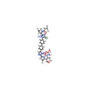 COC(=O)N(C)C(C(=O)N1C[C@@H](C)C[C@H]1c1ncc(-c2ccc(-c3ccc(-c4[nH]c([C@@H]5C[C@H](C)CN5C(=O)CC(C)C)nc4Cl)cc3)cc2)[nH]1)C1CCOCC1